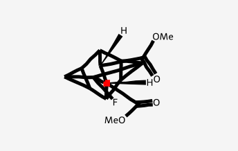 COC(=O)[C@@H]1C2C3C4C(C5C2C5C(F)(F)C34)[C@@H]1C(=O)OC